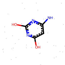 [NH]c1cc(O)nc(O)n1